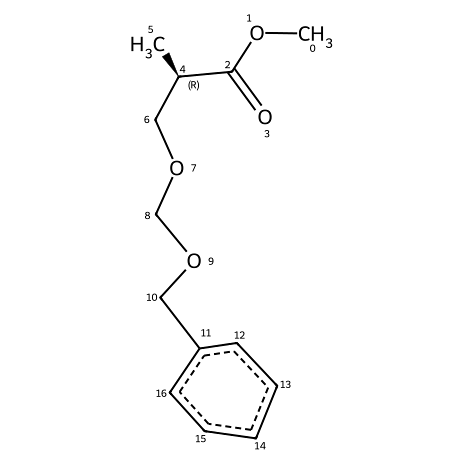 COC(=O)[C@H](C)COCOCc1ccccc1